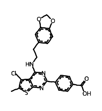 Cc1sc2nc(-c3ccc(C(=O)O)cc3)nc(NCCc3ccc4c(c3)OCO4)c2c1Cl